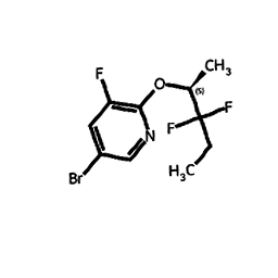 CCC(F)(F)[C@H](C)Oc1ncc(Br)cc1F